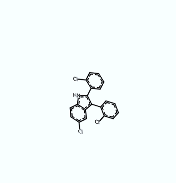 Clc1ccc2[nH]c(-c3ccccc3Cl)c(-c3ccccc3Cl)c2c1